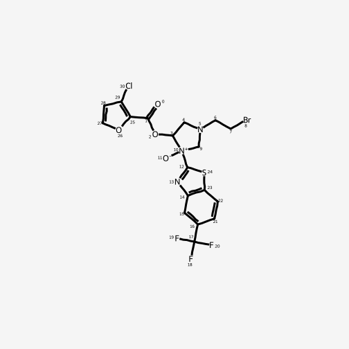 O=C(OC1CN(CCBr)C[N+]1([O-])c1nc2cc(C(F)(F)F)ccc2s1)c1occc1Cl